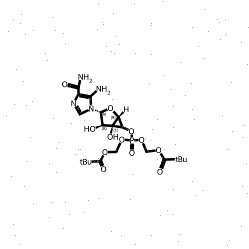 CC(C)(C)C(=O)OCOP(=O)(OCOC(=O)C(C)(C)C)OC1[C@H]2O[C@@H](n3cnc(C(N)=O)c3N)[C@H](O)[C@@]12O